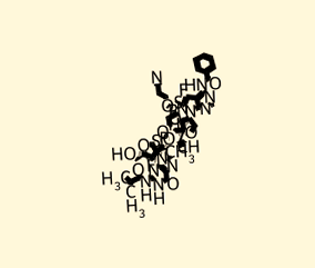 C#C[C@]1(COP(=S)(OCCC#N)[C@@H](C)[C@]2(n3cnc4c(=O)[nH]c(NC(=O)C(C)C)nc43)CO[C@H](CO)[C@H]2F)OCC(n2cc(F)c3c(NC(=O)c4ccccc4)ncnc32)[C@@H]1O[PH](=S)OCCC#N